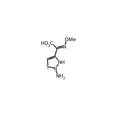 CO/N=C(\C(=O)O)C1=CSN(N)N1